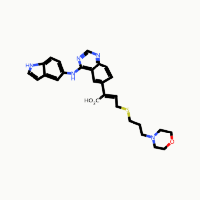 O=C(O)C(=CCSCCCN1CCOCC1)c1ccc2ncnc(Nc3ccc4[nH]ccc4c3)c2c1